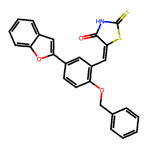 O=C1NC(=S)SC1=Cc1cc(-c2cc3ccccc3o2)ccc1OCc1ccccc1